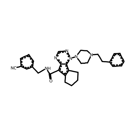 N#Cc1cccc(CNC(=O)c2c3ncnn(N4CCN(CCc5ccccc5)CC4)c-3c3c2CCCC3)c1